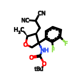 C[C@H]1OC[C@@](NC(=O)OC(C)(C)C)(c2cccc(F)c2F)[C@@H]1CC(C#N)C#N